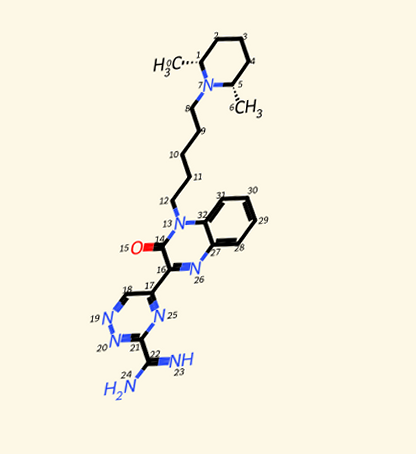 C[C@@H]1CCC[C@H](C)N1CCCCCn1c(=O)c(-c2cnnc(C(=N)N)n2)nc2ccccc21